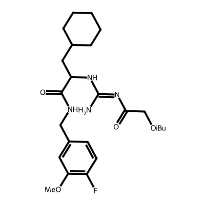 COc1cc(CNC(=O)C(CC2CCCCC2)NC(N)=NC(=O)COCC(C)C)ccc1F